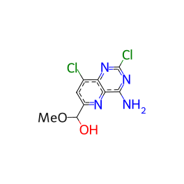 COC(O)c1cc(Cl)c2nc(Cl)nc(N)c2n1